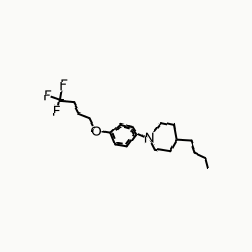 CCCCC1CCN(c2ccc(OCCCC(F)(F)F)cc2)CC1